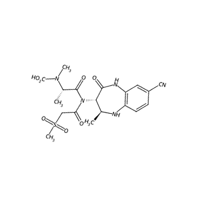 C[C@@H]1Nc2ccc(C#N)cc2NC(=O)[C@H]1N(C(=O)CS(C)(=O)=O)C(=O)[C@H](C)N(C)C(=O)O